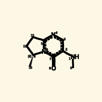 CNc1cnc2n(c1=O)[C@H](C)CC2